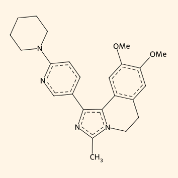 COc1cc2c(cc1OC)-c1c(-c3ccc(N4CCCCC4)nc3)nc(C)n1CC2